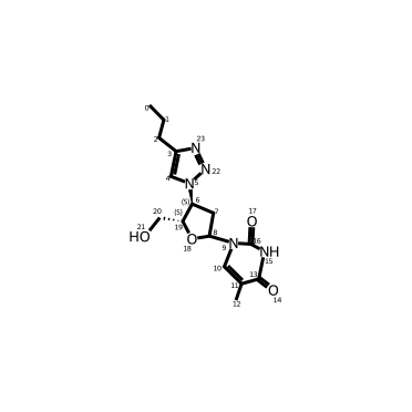 CCCc1cn([C@H]2CC(n3cc(C)c(=O)[nH]c3=O)O[C@@H]2CO)nn1